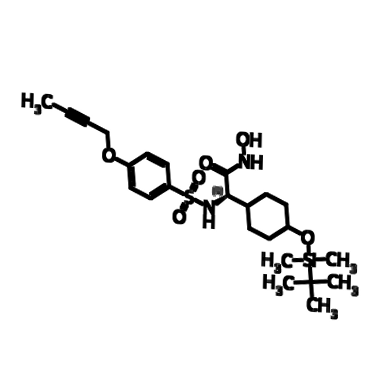 CC#CCOc1ccc(S(=O)(=O)N[C@@H](C(=O)NO)C2CCC(O[Si](C)(C)C(C)(C)C)CC2)cc1